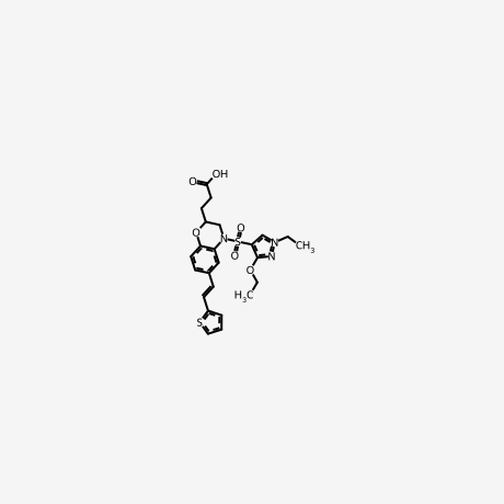 CCOc1nn(CC)cc1S(=O)(=O)N1CC(CCC(=O)O)Oc2ccc(C=Cc3cccs3)cc21